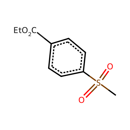 CCOC(=O)c1ccc(S(C)(=O)=O)cc1